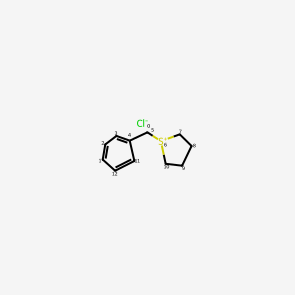 [Cl-].c1ccc(C[S+]2CCCC2)cc1